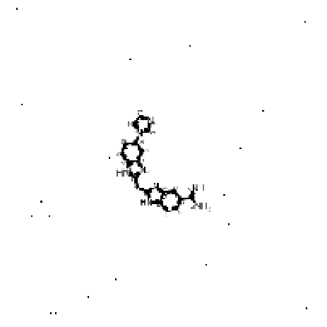 N=C(N)c1ccc2[nH]c(Cc3nc4cc(-n5ccnc5)ccc4[nH]3)nc2c1